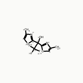 Cc1coc(C(O)(c2nc(C)co2)C(F)(F)F)n1